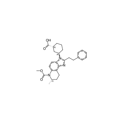 COC(=O)N1c2ccc3c(nc(CCc4ccccc4)n3[C@@H]3CCC[C@@H](C(=O)O)C3)c2CC[C@@H]1C